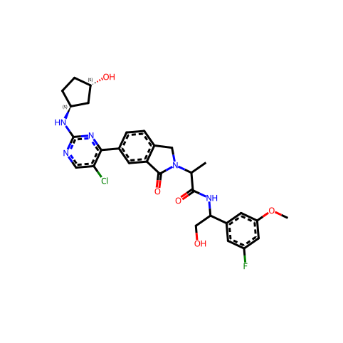 COc1cc(F)cc(C(CO)NC(=O)C(C)N2Cc3ccc(-c4nc(N[C@H]5CC[C@H](O)C5)ncc4Cl)cc3C2=O)c1